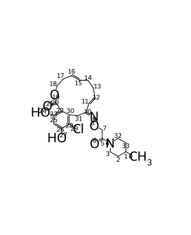 CC1CCN(C(=O)CO/N=C2/C=C/CC/C=C/CCOC(=O)c3c(O)cc(O)c(Cl)c3C2)CC1